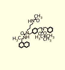 CC(=O)NCCCCN(Cc1ccc(CN(Cc2ccccc2)C(=O)OC(C)(C)C)cc1)C(=O)N[C@@H](C)c1cccc2ccccc12